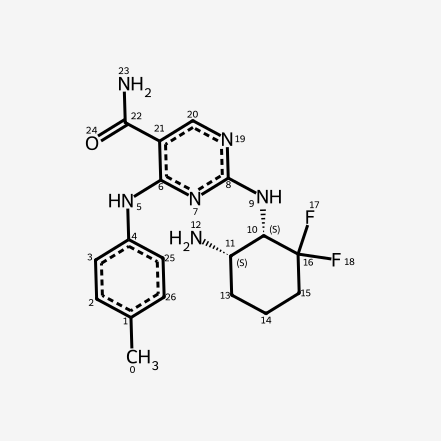 Cc1ccc(Nc2nc(N[C@H]3[C@@H](N)CCCC3(F)F)ncc2C(N)=O)cc1